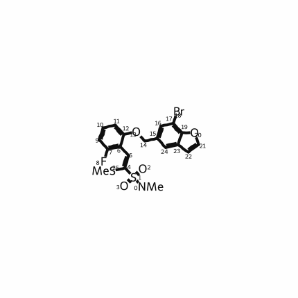 CNS(=O)(=O)C(=Cc1c(F)cccc1OCc1cc(Br)c2occc2c1)SC